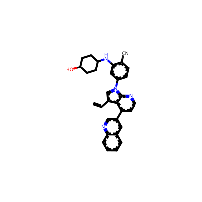 C=Cc1cn(-c2ccc(C#N)c(NC3CCC(O)CC3)c2)c2nccc(-c3cnc4ccccc4c3)c12